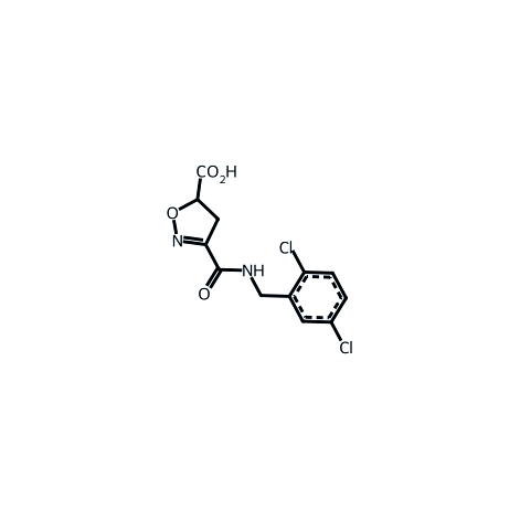 O=C(NCc1cc(Cl)ccc1Cl)C1=NOC(C(=O)O)C1